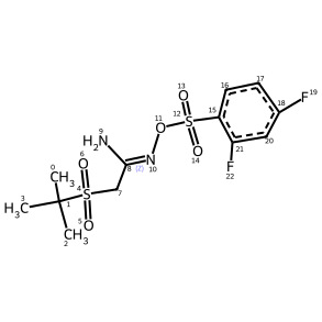 CC(C)(C)S(=O)(=O)C/C(N)=N/OS(=O)(=O)c1ccc(F)cc1F